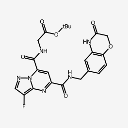 CC(C)(C)OC(=O)CNC(=O)c1cc(C(=O)NCc2ccc3c(c2)NC(=O)CO3)nc2c(F)cnn12